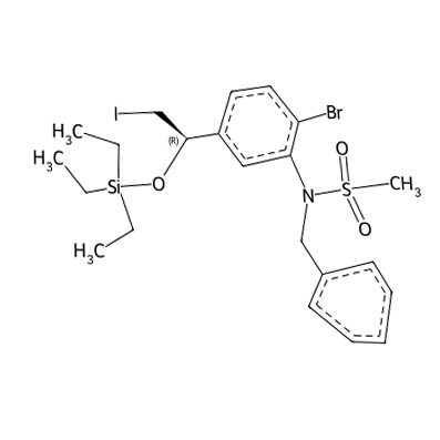 CC[Si](CC)(CC)O[C@@H](CI)c1ccc(Br)c(N(Cc2ccccc2)S(C)(=O)=O)c1